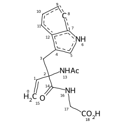 C=CC(Cc1c[nH]c2ccccc12)(NC(C)=O)C(=O)NCC(=O)O